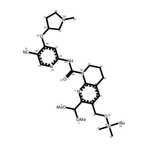 COC(OC)c1nc2c(cc1CO[Si](C)(C)C(C)(C)C)CCCN2C(=O)Nc1cc(OC2CCN(C)C2)c(C#N)cn1